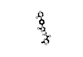 C=C(Cl)S/C(=C\C)C(=O)NC[C@H]1CN(c2ccc(N3CCOCC3=O)cc2)C(=O)O1